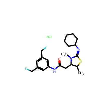 CC1SC(=NC2CCCCC2)N(C)C1CC(=O)Nc1cc(CF)cc(CF)c1.Cl